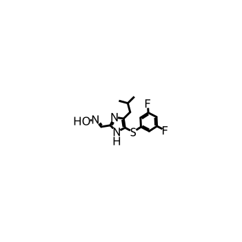 CC(C)Cc1nc(C=NO)[nH]c1Sc1cc(F)cc(F)c1